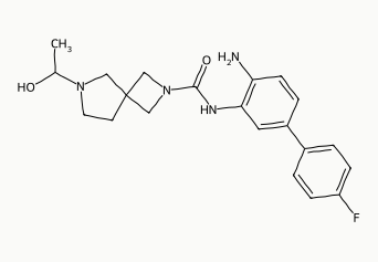 CC(O)N1CCC2(CN(C(=O)Nc3cc(-c4ccc(F)cc4)ccc3N)C2)C1